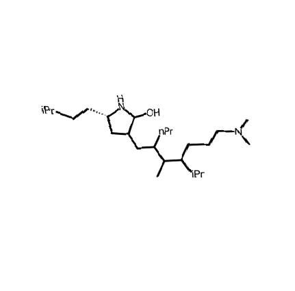 CCCC(CC1C[C@H](CCC(C)C)NC1O)C(C)C(CCCN(C)C)C(C)C